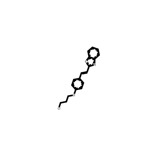 ClCCCOc1ccc(C=Cc2nc3ccccc3s2)cc1